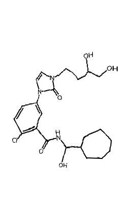 O=C(NC(O)C1CCCCCC1)c1cc(-n2ccn(CCC(O)CO)c2=O)ccc1Cl